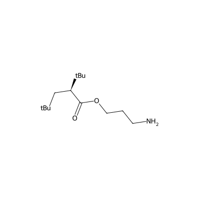 CC(C)(C)C[C@H](C(=O)OCCCN)C(C)(C)C